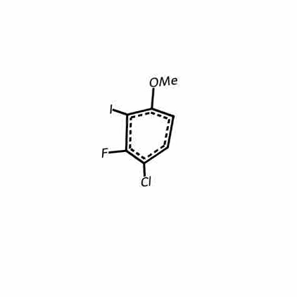 COc1ccc(Cl)c(F)c1I